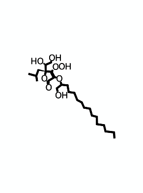 CCCCCCCCCCCCCCC(CO)OC1=C(OO)[C@@](CC(C)C)([C@@H](O)CO)OC1=O